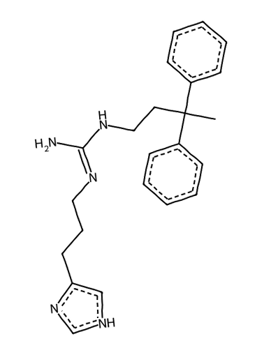 CC(CCNC(N)=NCCCc1c[nH]cn1)(c1ccccc1)c1ccccc1